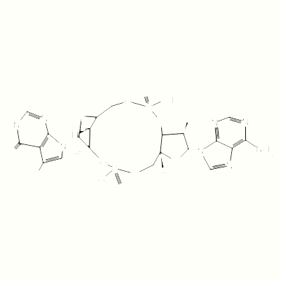 Nc1ncnc2c1ncn2[C@@H]1O[C@@H]2COP(=O)(O)O[C@@H]3[C@H](O)C(COP(=O)(S)O[C@H]2[C@H]1F)O[C@H]3n1cc(F)c2c(=O)[nH]cnc21